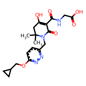 CC1(C)CC(O)=C(C(=O)NCC(=O)O)C(=O)N1Cc1ccc(OCC2CC2)nn1